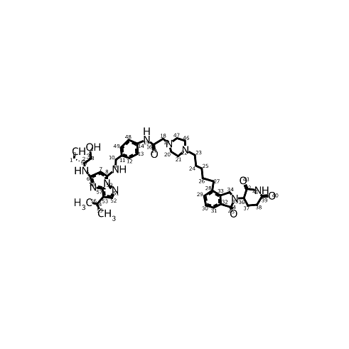 CC[C@H](CO)Nc1cc(NCc2ccc(NC(=O)CN3CCN(CCCCCc4cccc5c4CN(C4CCC(=O)NC4=O)C5=O)CC3)cc2)n2ncc(C(C)C)c2n1